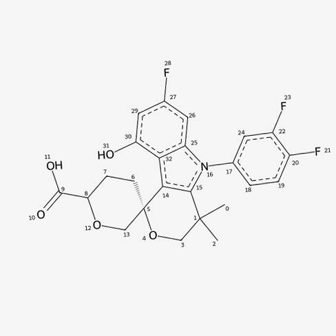 CC1(C)CO[C@]2(CCC(C(=O)O)OC2)c2c1n(-c1ccc(F)c(F)c1)c1cc(F)cc(O)c21